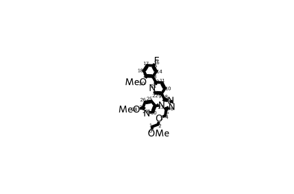 COCCOCc1nnc(-c2ccc(-c3cc(F)ccc3OC)nc2)n1-c1ccc(OC)nc1